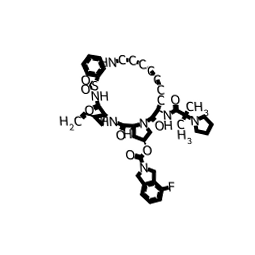 C=C[C@@H]1C[C@@]12NC(=O)[C@@H]1C[C@@H](OC(=O)N3Cc4cccc(F)c4C3)CN1C(=O)[C@@H](NC(=O)C(C)(C)N1CCCC1)CCCCCCCNc1ccccc1S(=O)(=O)NC2=O